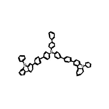 c1ccc(-c2ccc(N(c3ccc(-c4ccc(-c5ccc6c(c5)c5ccccc5n6-c5ccccc5)cc4)cc3)c3ccc(-c4ccc(-c5ccc6c7ccccc7n(-c7ccccc7)c6c5)cc4)cc3)cc2)cc1